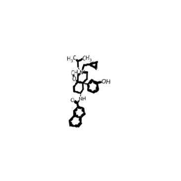 COC12CC[C@@H](NC(=O)c3ccc4ccccc4c3)C[C@@]1(c1cccc(O)c1)CC[N@+](CC(C)C)(CC1CC1)C2